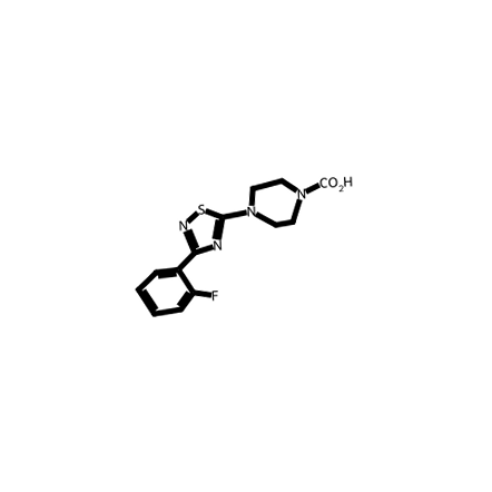 O=C(O)N1CCN(c2nc(-c3ccccc3F)ns2)CC1